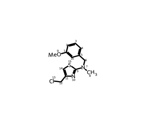 COc1cccc(CN(C)c2nc(CCl)cs2)c1